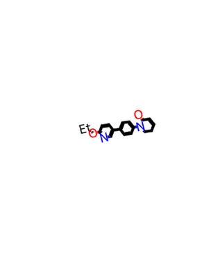 CCOc1ccc(-c2ccc(N3CCC=CC3=O)cc2)cn1